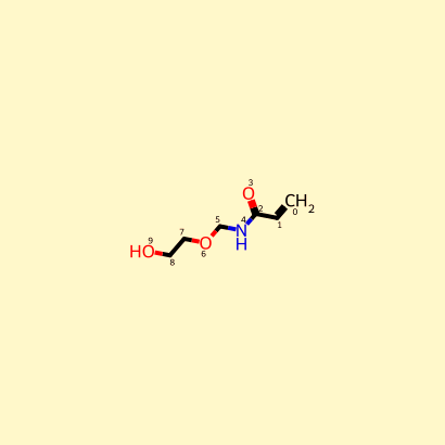 C=CC(=O)NCOCCO